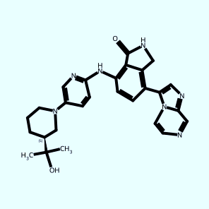 CC(C)(O)[C@H]1CCCN(c2ccc(Nc3ccc(-c4cnc5cnccn45)c4c3C(=O)NC4)nc2)C1